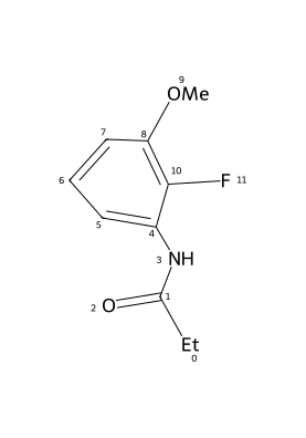 CCC(=O)Nc1cccc(OC)c1F